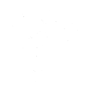 CC(C)C(c1ccc(N2CC[C@H](NS(=O)(=O)C=Cc3ccc(Cl)s3)C2=O)c(F)c1)N(C)C.O=CO